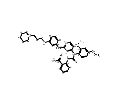 COc1ccc(N(C(=O)Oc2ccccc2C(=O)O)c2ccnc(Nc3cccc(OCCCN4CCCCC4)c3)n2)c(OC)c1